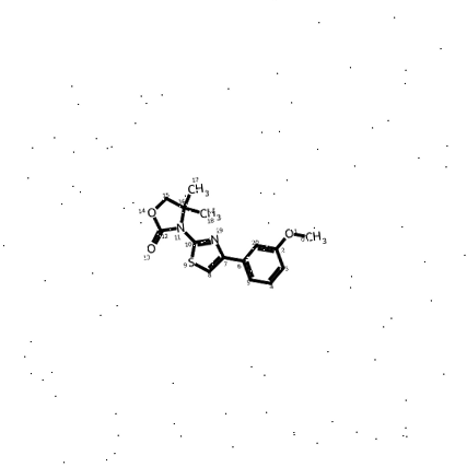 COc1cccc(-c2csc(N3C(=O)OCC3(C)C)n2)c1